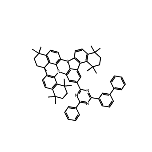 CC1(C)CCC(C)(C)c2c1ccc1c2-c2cc(-c3nc(-c4ccccc4)nc(-c4cccc(-c5ccccc5)c4)n3)cc3c2B1c1ccc2c4c1N3c1c(ccc3c1C(C)(C)CCC3(C)C)C4(C)CCC2(C)C